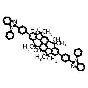 CC1(C)c2cc(-c3ccc(-c4nc5ccccc5n4-c4ccccc4)cc3)cc3c2-c2c1cc1c4c5c(cc(c24)C3(C)C)C(C)(C)c2cc(-c3ccc(-c4nc6ccccc6n4-c4ccccc4)cc3)cc(c2-5)C1(C)C